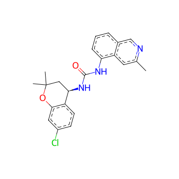 Cc1cc2c(NC(=O)N[C@@H]3CC(C)(C)Oc4cc(Cl)ccc43)cccc2cn1